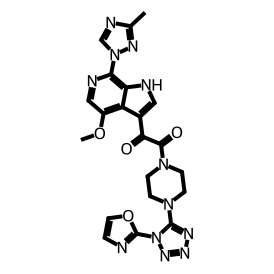 COc1cnc(-n2cnc(C)n2)c2[nH]cc(C(=O)C(=O)N3CCN(c4nnnn4-c4ncco4)CC3)c12